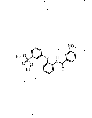 CCOP(=O)(OCC)c1cccc(Oc2ccccc2NC(=O)c2cccc([N+](=O)[O-])c2)c1